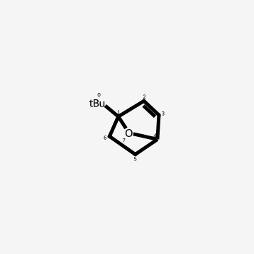 CC(C)(C)C12C=CC(CC1)O2